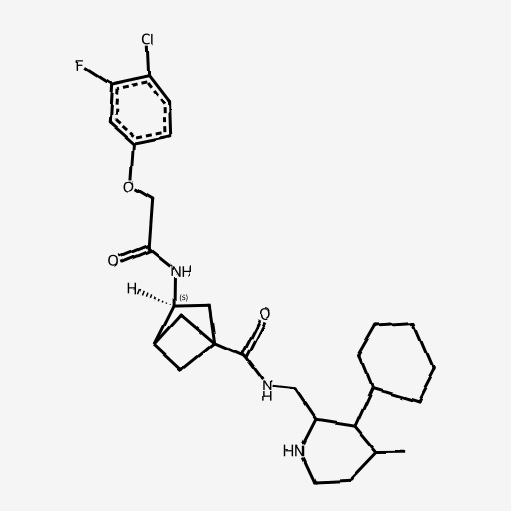 CC1CCNC(CNC(=O)C23CC(C2)[C@@H](NC(=O)COc2ccc(Cl)c(F)c2)C3)C1C1CCCCC1